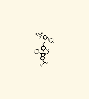 CS(=O)(=O)c1ccc(N2CCOCC2)c(COc2ccc3c(c2)OCCn2c-3c(C3CCCCC3)c3ccc(C(N)=O)cc32)c1